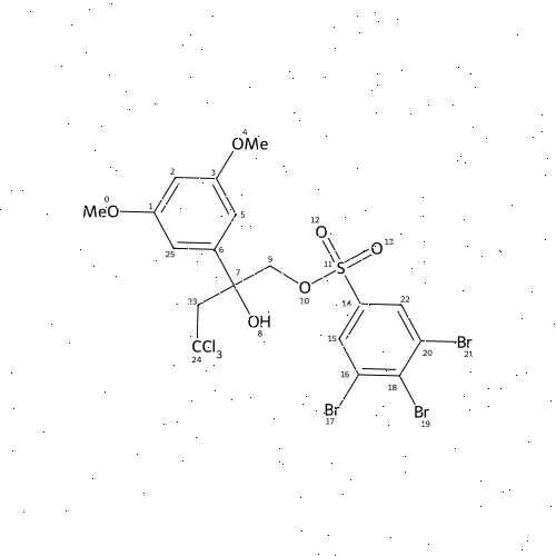 COc1cc(OC)cc(C(O)(COS(=O)(=O)c2cc(Br)c(Br)c(Br)c2)CC(Cl)(Cl)Cl)c1